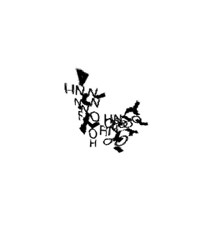 C#CC1(F)[C@@H](O)[C@@H](COP(=O)(N[C@@H](CC(C)C)C(=O)OCC)N[C@H](CC(C)C)C(=O)OCC)O[C@H]1n1cnc2c(NC3CC3)nc(C)nc21